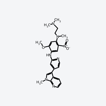 COc1cc(N(C)CCN(C)C)c([N+](=O)[O-])cc1Nc1cc(-c2cn(C)c3ncccc23)ccn1